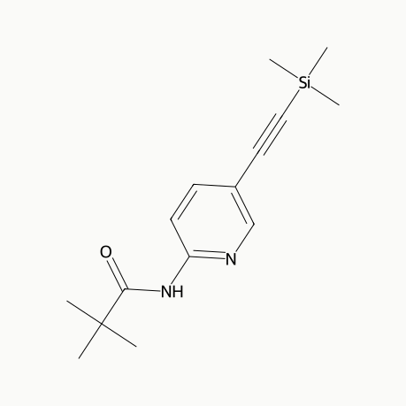 CC(C)(C)C(=O)Nc1ccc(C#C[Si](C)(C)C)cn1